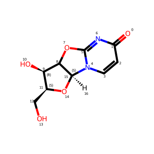 O=c1ccn2c(n1)OC1[C@H](O)[C@H](CO)O[C@@H]12